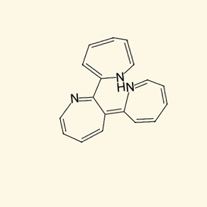 C1=CC=NC(=C2C=CC=CN=C2C2=CC=CC=CN2)C=C1